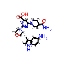 Cc1[nH]c2ccc(N)cc2c1C.NC(=O)C1CCN(c2cc(C(=O)O)nc(N3CCOCC3)n2)CC1